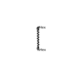 CCCCCCOCCCCCCC[CH]CCCCCCCOCCCCCC